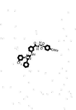 COc1ccc(S(=O)(=O)NNC(=O)c2cccc(Nc3nc(-c4ccccc4)n(-c4cccc(C(F)(F)F)c4)n3)c2)cc1